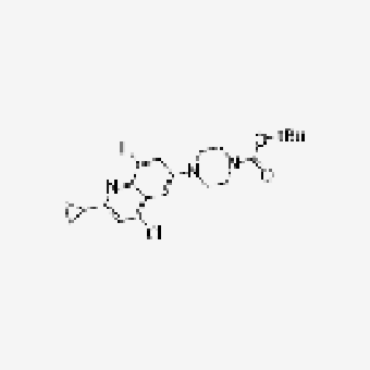 CC(C)(C)OC(=O)N1CCN(c2cc(F)c3nc(C4CC4)cc(Cl)c3c2)CC1